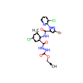 C#CCOC(=O)NNC(=O)c1cc(Cl)cc(C)c1NC(=O)c1cc(Br)nn1-c1ncccc1Cl